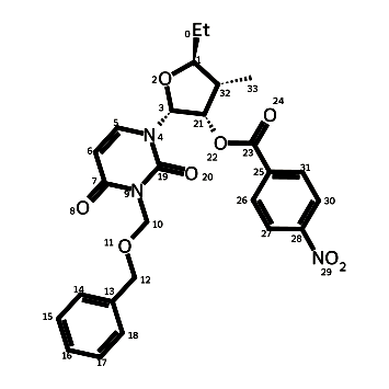 CC[C@@H]1O[C@@H](n2ccc(=O)n(COCc3ccccc3)c2=O)[C@@H](OC(=O)c2ccc([N+](=O)[O-])cc2)[C@H]1C